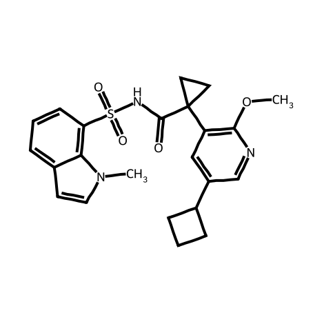 COc1ncc(C2CCC2)cc1C1(C(=O)NS(=O)(=O)c2cccc3ccn(C)c23)CC1